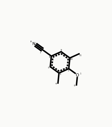 COc1c(C)cc(C#N)cc1C